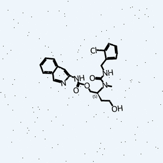 CN(C(=O)NCc1ccccc1Cl)[C@@H](CCO)COC(=O)Nc1cc2ccccc2cn1